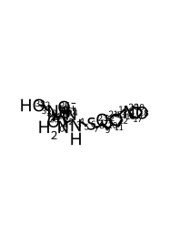 Nc1c(NCCSCc2cc3ccc(CN4CCOCC4)cc3o2)n[s+]([O-])c1C(=O)NCCO